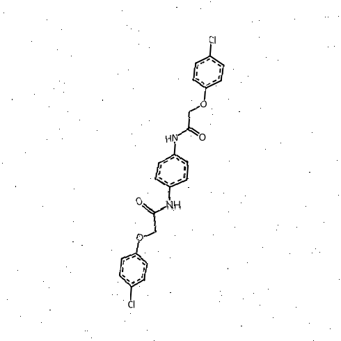 O=C(COc1ccc(Cl)cc1)Nc1ccc(NC(=O)COc2ccc(Cl)cc2)cc1